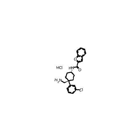 Cl.NC[C@]1(c2cccc(Cl)c2)CC[C@@H](NC(=O)c2cc3ccccc3o2)CC1